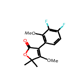 COC1=C(c2ccc(F)c(F)c2OC)C(=O)OC1(C)C